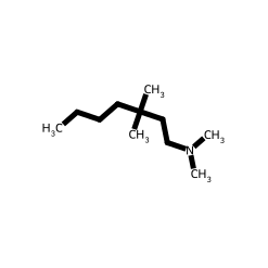 CCCCC(C)(C)CCN(C)C